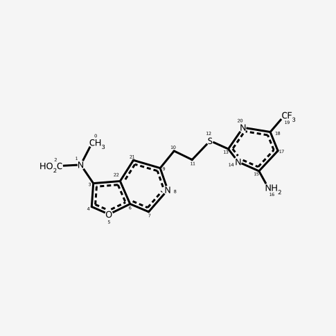 CN(C(=O)O)c1coc2cnc(CCSc3nc(N)cc(C(F)(F)F)n3)cc12